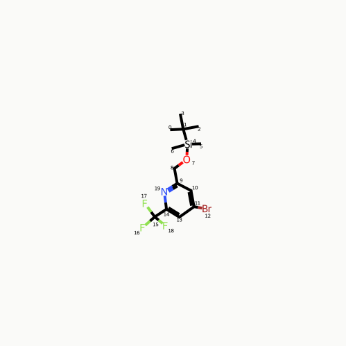 CC(C)(C)[Si](C)(C)OCc1cc(Br)cc(C(F)(F)F)n1